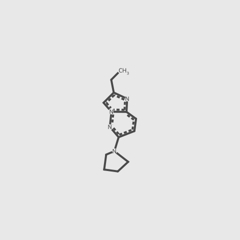 CCc1cn2nc(N3CCCC3)ccc2n1